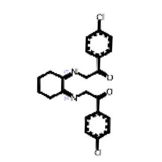 O=C(C/N=C1/CCCC/C1=N/CC(=O)c1ccc(Cl)cc1)c1ccc(Cl)cc1